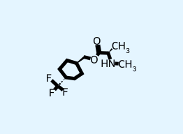 CN[C@@H](C)C(=O)OC[C@H]1CC[C@H](C(F)(F)F)CC1